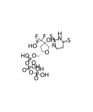 O=P(O)(O)OP(=O)(O)OP(=O)(O)OC[C@H]1O[C@@H](n2ccc(=S)[nH]c2=S)C(O)(C(F)(F)F)[C@H]1O